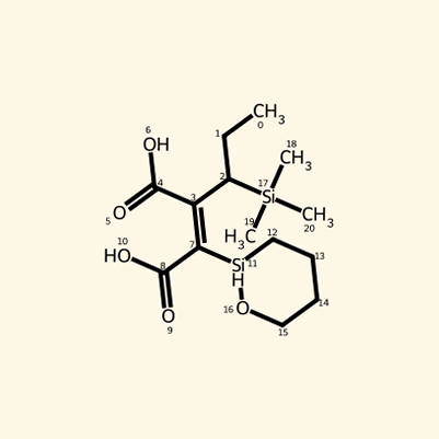 CCC(C(C(=O)O)=C(C(=O)O)[SiH]1CCCCO1)[Si](C)(C)C